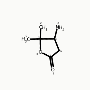 CC1(C)OC(=O)CC1N